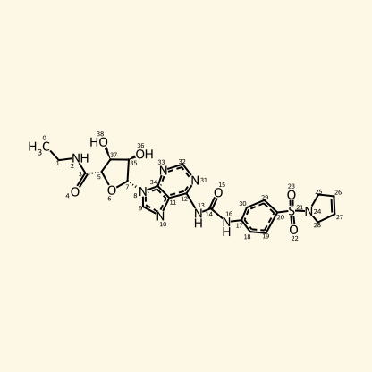 CCNC(=O)[C@H]1O[C@@H](n2cnc3c(NC(=O)Nc4ccc(S(=O)(=O)N5CC=CC5)cc4)ncnc32)[C@H](O)[C@@H]1O